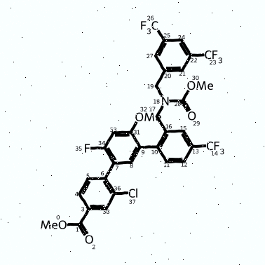 COC(=O)c1ccc(-c2cc(-c3ccc(C(F)(F)F)cc3CN(Cc3cc(C(F)(F)F)cc(C(F)(F)F)c3)C(=O)OC)c(OC)cc2F)c(Cl)c1